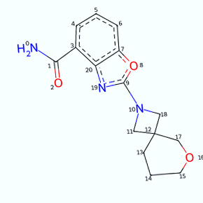 NC(=O)c1[c]ccc2oc(N3CC4(CCCOC4)C3)nc12